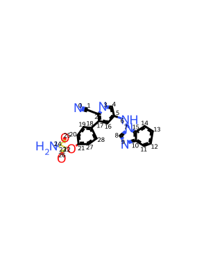 N#Cc1ncc(Nn2cnc3ccccc32)cc1-c1ccc(OS(N)(=O)=O)cc1